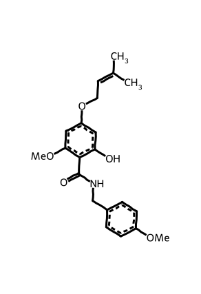 COc1ccc(CNC(=O)c2c(O)cc(OCC=C(C)C)cc2OC)cc1